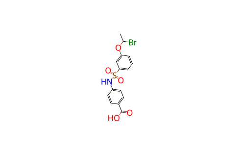 CC(Br)Oc1cccc(S(=O)(=O)Nc2ccc(C(=O)O)cc2)c1